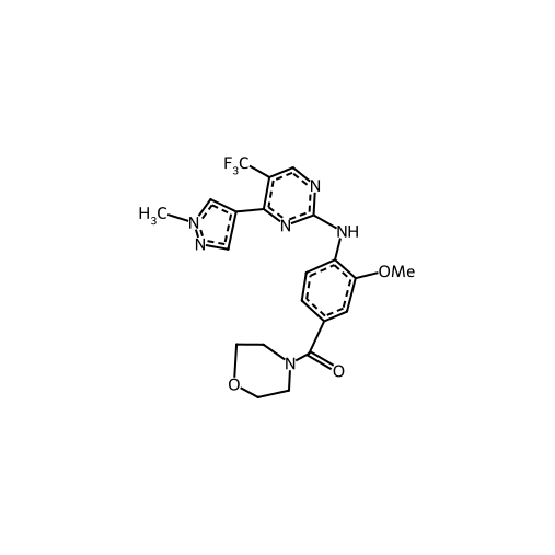 COc1cc(C(=O)N2CCOCC2)ccc1Nc1ncc(C(F)(F)F)c(-c2cnn(C)c2)n1